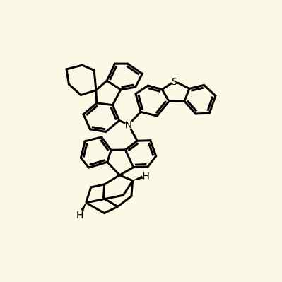 c1ccc2c(c1)-c1c(N(c3ccc4sc5ccccc5c4c3)c3cccc4c3-c3ccccc3C43C4CC5C[C@H](C4)C[C@H]3C5)cccc1C21CCCCC1